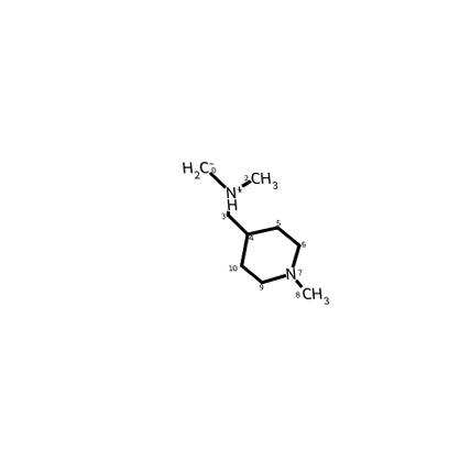 [CH2-][NH+](C)CC1CCN(C)CC1